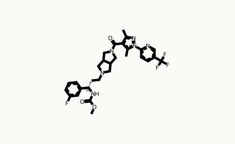 COC(=O)N[C@@H](CCN1CC2CN(C(=O)c3c(C)nn(-c4ccc(C(F)(F)F)cn4)c3C)CC2C1)c1cccc(F)c1